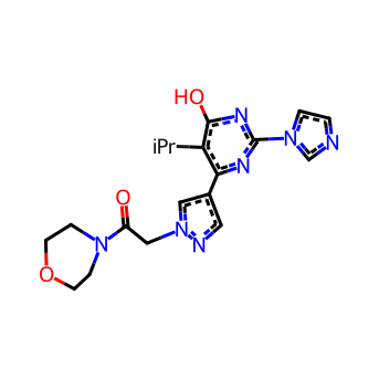 CC(C)c1c(O)nc(-n2ccnc2)nc1-c1cnn(CC(=O)N2CCOCC2)c1